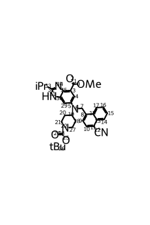 COC(=O)c1cc(N(Cc2ccc(C#N)c3ccccc23)C2CCN(C(=O)OC(C)(C)C)CC2)cc2[nH]c(C(C)C)nc12